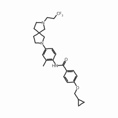 Cc1cc(N2CCC3(CCN(CCC(F)(F)F)C3)C2)ccc1NC(=O)c1ccc(OCC2CC2)cc1